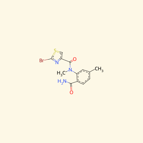 Cc1ccc(C(N)=O)c(N(C)C(=O)c2csc(Br)n2)c1